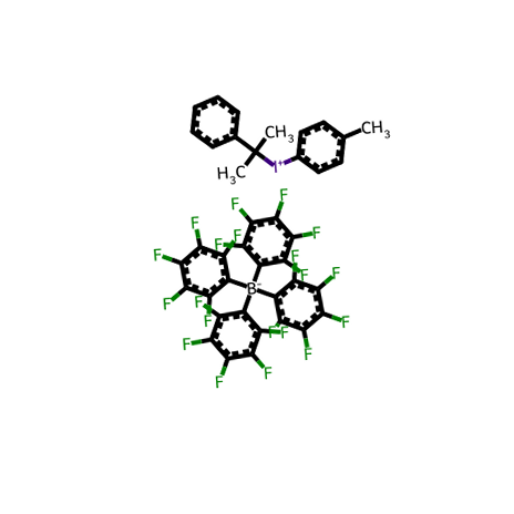 Cc1ccc([I+]C(C)(C)c2ccccc2)cc1.Fc1c(F)c(F)c([B-](c2c(F)c(F)c(F)c(F)c2F)(c2c(F)c(F)c(F)c(F)c2F)c2c(F)c(F)c(F)c(F)c2F)c(F)c1F